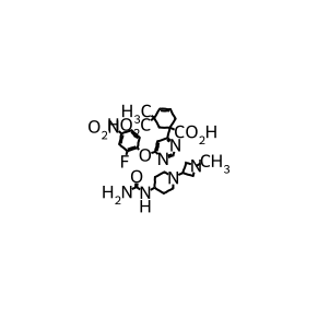 CC1(C(=O)O)C=CCC(C(=O)O)(c2cc(Oc3ccc([N+](=O)[O-])cc3F)ncn2)C1.CN1CC(N2CCC(NC(N)=O)CC2)C1